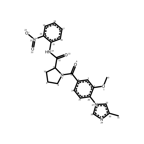 COc1cc(C(=O)N2CCCC2C(=O)Nc2ccccc2[N+](=O)[O-])ccc1-n1cnc(C)c1